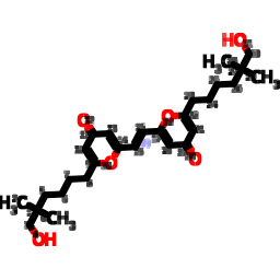 CC(C)(CO)CCCCc1cc(=O)cc(/C=C/c2cc(=O)cc(CCCCC(C)(C)CO)o2)o1